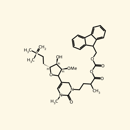 C=P(C)(C)CC[C@H]1OC(C2=CN(C)C(=O)N(CCC(C)C(=O)OC(=O)OCC3c4ccccc4-c4ccccc43)C2)[C@H](OC)[C@@H]1O